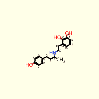 CC(CCc1ccc(O)cc1)NCCc1cccc(O)c1O